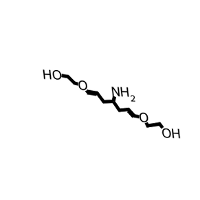 NC(CC=COCCO)CC=COCCO